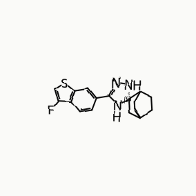 Fc1csc2cc(C3=NN[C@]4(CC5CCC4CC5)N3)ccc12